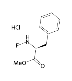 COC(=O)[C@H](Cc1ccccc1)NF.Cl